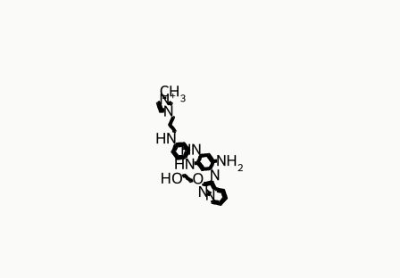 C[n+]1ccn(CCCNc2ccc(NC3=CC(=Nc4c(OCCO)nn5ccccc45)C(N)=CC3=N)cc2)c1